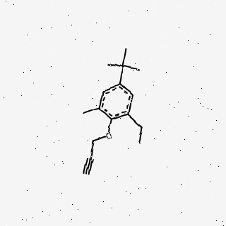 C#CCOc1c(C)cc(C(C)(C)C)cc1CC